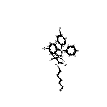 O=C(OCCCCCF)C(F)(F)S(=O)(=O)OS(c1ccccc1)(c1ccc(F)cc1)c1ccc(F)cc1